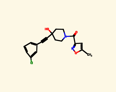 Cc1cc(C(=O)N2CCC(O)(C#Cc3cccc(Cl)c3)CC2)no1